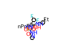 CCCC(CCC)S(=O)(=O)C[C@H](NC(=O)c1ccccn1)C(=O)N[C@@H](Cc1cc(F)cc(F)c1)[C@H](O)CNCc1cccc(CC)c1